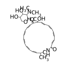 CC1\C=C/C=C\C=C/C=C\C=C/C(OC2OCC(O)C(O)C2N(C)C)C(C)(O)/C=C/C=C\C=C/C=C/C(=O)NC1